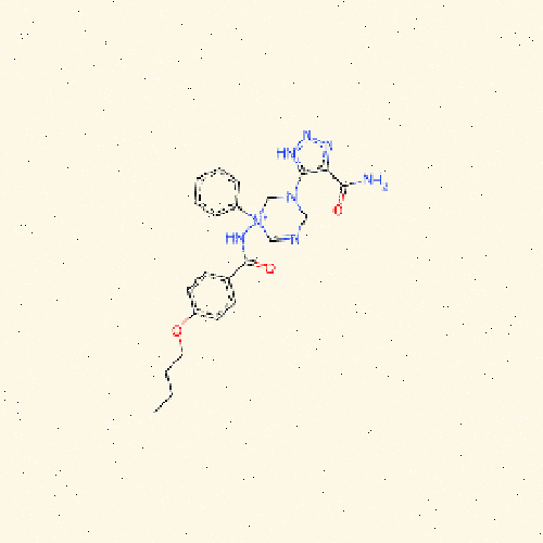 CCCCOc1ccc(C(=O)N[N+]2(c3ccccc3)C=NCN(c3[nH]nnc3C(N)=O)C2)cc1